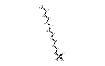 CCS(=S)(=S)SSSSSSSSSSSSS